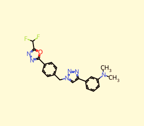 CN(C)c1cccc(-c2cn(Cc3ccc(-c4nnc(C(F)F)o4)cc3)nn2)c1